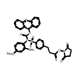 COc1ccc(N(C(=O)Oc2c3ccccc3nc3ccccc23)S(=O)(=O)c2ccc(CCC(=O)ON3C(=O)CCC3=O)cc2)c(OC)c1